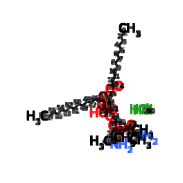 CCCCCCCCCCCCCC(=O)OCC(COP(=O)(O)OCC(COC(=O)CC(C)(C)N)OC(=O)CC(C)(C)N)OC(=O)CCCCCCCCCCCCC.Cl.Cl